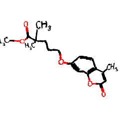 COC(=O)C(C)(C)CCCOc1ccc2c(C)cc(=O)oc2c1